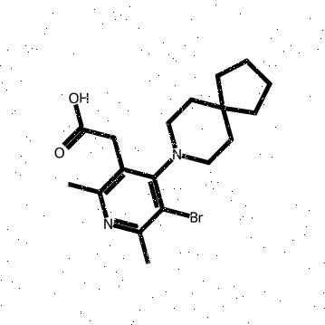 Cc1nc(C)c(CC(=O)O)c(N2CCC3(CCCC3)CC2)c1Br